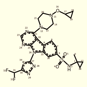 CC1(NS(=O)(=O)c2ccc3c4c(N5CCN(OC6CC6)CC5)ncnc4n(-c4nnc(C(F)F)s4)c3c2)CC1